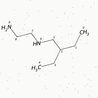 CCC(CC)CNCCN